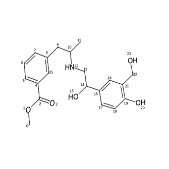 COC(=O)c1cccc(CC(C)NCC(O)c2ccc(O)c(CO)c2)c1